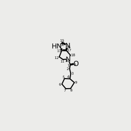 O=C(CCC1CCCCC1)N1CCc2[nH]cnc2C1